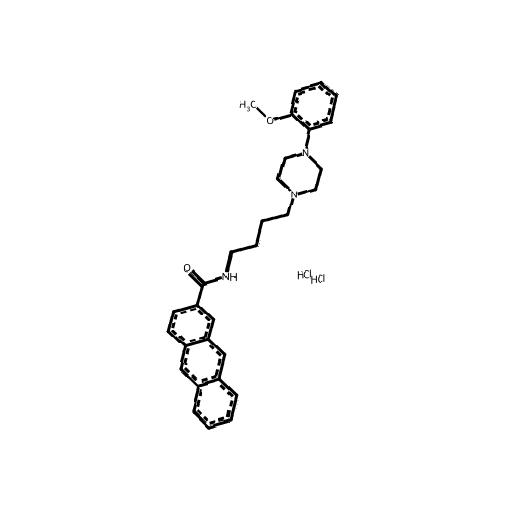 COc1ccccc1N1CCN(CCCCNC(=O)c2ccc3cc4ccccc4cc3c2)CC1.Cl.Cl